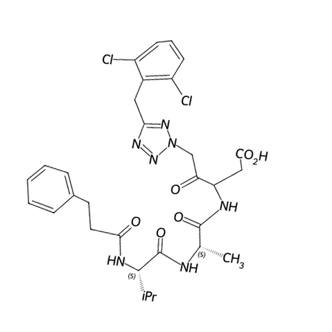 CC(C)[C@H](NC(=O)CCc1ccccc1)C(=O)N[C@@H](C)C(=O)NC(CC(=O)O)C(=O)Cn1nnc(Cc2c(Cl)cccc2Cl)n1